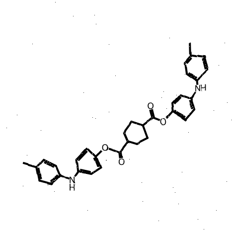 Cc1ccc(Nc2ccc(OC(=O)C3CCC(C(=O)Oc4ccc(Nc5ccc(C)cc5)cc4)CC3)cc2)cc1